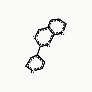 c1cnc2nc(-c3ccncc3)ncc2c1